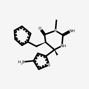 Bc1csc([C@@]2(C)NC(=N)N(C)C(=O)[C@@H]2Cc2ccccc2)c1